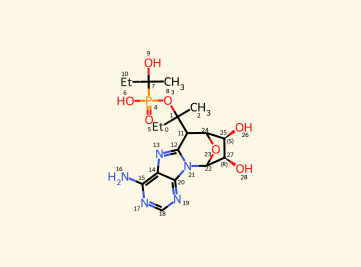 CCC(C)(OP(=O)(O)C(C)(O)CC)C1c2nc3c(N)ncnc3n2C2OC1[C@@H](O)[C@H]2O